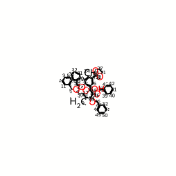 C=C1[C@@H](COCc2ccccc2)OC(O)(c2cc(C3OCCO3)c(C)cc2OCc2ccccc2)[C@H](OCc2ccccc2)[C@H]1OCc1ccccc1